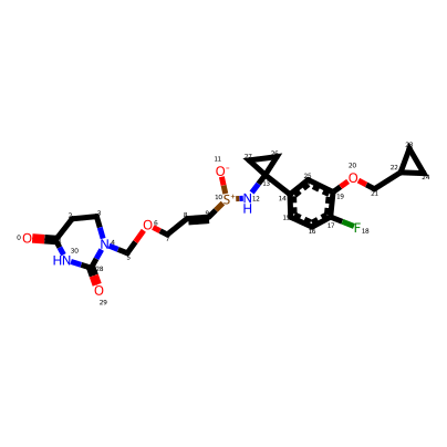 O=C1CCN(COC/C=C/[S+]([O-])NC2(c3ccc(F)c(OCC4CC4)c3)CC2)C(=O)N1